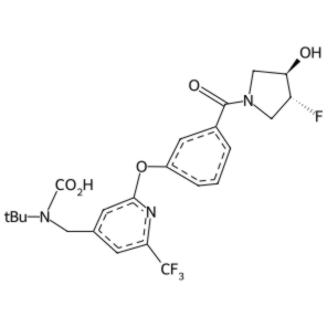 CC(C)(C)N(Cc1cc(Oc2cccc(C(=O)N3C[C@@H](O)[C@H](F)C3)c2)nc(C(F)(F)F)c1)C(=O)O